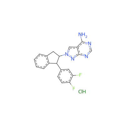 Cl.Nc1ncnc2nn(C3Cc4ccccc4C3c3ccc(F)c(F)c3)cc12